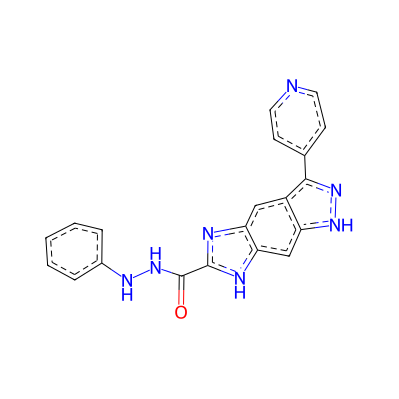 O=C(NNc1ccccc1)c1nc2cc3c(-c4ccncc4)n[nH]c3cc2[nH]1